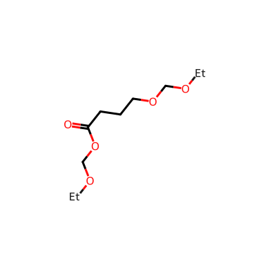 CCOCOCCCC(=O)OCOCC